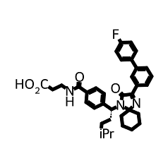 CC(C)CC[C@H](c1ccc(C(=O)NCCC(=O)O)cc1)N1C(=O)C(c2cccc(-c3ccc(F)cc3)c2)=NC12CCCCC2